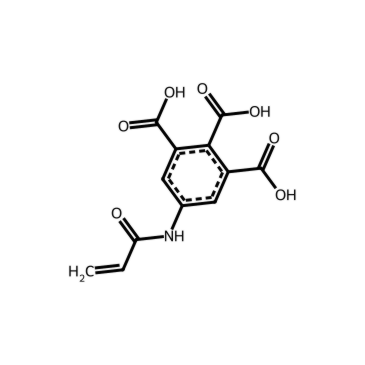 C=CC(=O)Nc1cc(C(=O)O)c(C(=O)O)c(C(=O)O)c1